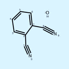 N#Cc1ccccc1C#N.[O]